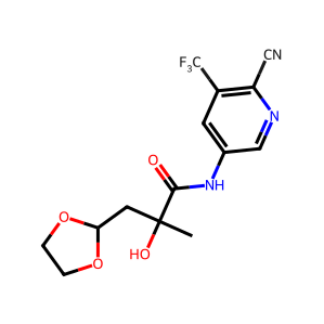 CC(O)(CC1OCCO1)C(=O)Nc1cnc(C#N)c(C(F)(F)F)c1